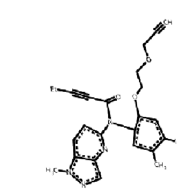 C#CCOCCOc1cc(I)c(C)cc1N(C(=O)C#CCC)c1ccc2c(cnn2C)n1